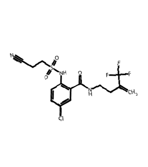 C=C(CCNC(=O)c1cc(Cl)ccc1NS(=O)(=O)CCC#N)C(F)(F)F